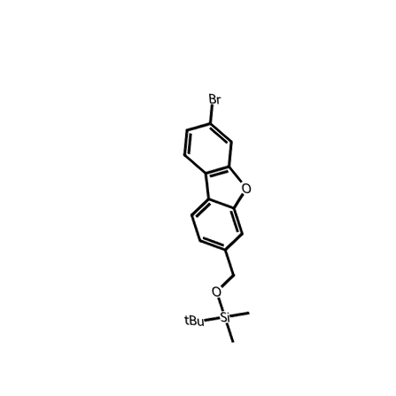 CC(C)(C)[Si](C)(C)OCc1ccc2c(c1)oc1cc(Br)ccc12